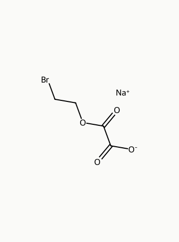 O=C([O-])C(=O)OCCBr.[Na+]